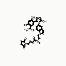 CC(C)c1cc(-c2nnc(O)n2-c2ccc3c(ccn3CCN(C)C(=O)CCCN3C(=O)C=CC3=O)c2)c(O)cc1O